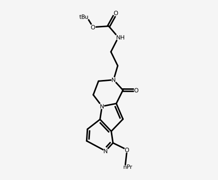 CCCOc1nccc2c1cc1n2CCN(CCNC(=O)OC(C)(C)C)C1=O